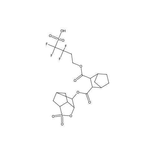 O=C(OCCC(F)(F)C(F)(F)S(=O)(=O)O)C1C2CCC(C2)C1C(=O)OC1C2CC3C1OS(=O)(=O)C3C2